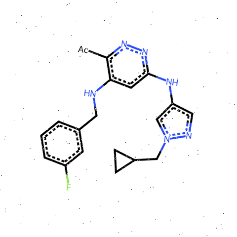 CC(=O)c1nnc(Nc2cnn(CC3CC3)c2)cc1NCc1cccc(F)c1